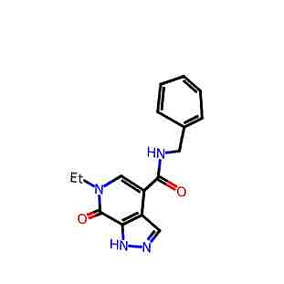 CCn1cc(C(=O)NCc2ccccc2)c2cn[nH]c2c1=O